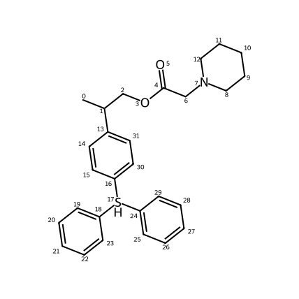 CC(COC(=O)CN1CCCCC1)c1ccc([SH](c2ccccc2)c2ccccc2)cc1